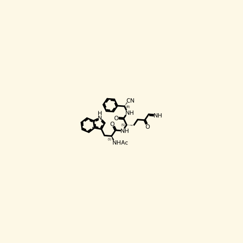 CC(=O)N[C@@H](Cc1c[nH]c2ccccc12)C(=O)N[C@@H](CCC(=O)C=N)C(=O)N[C@@H](C#N)c1ccccc1